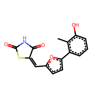 Cc1c(O)cccc1-c1ccc(C=C2SC(=O)NC2=O)o1